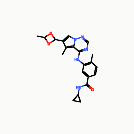 Cc1ccc(C(=O)NC2CC2)cc1Nc1ncnn2cc(C3OC(C)O3)c(C)c12